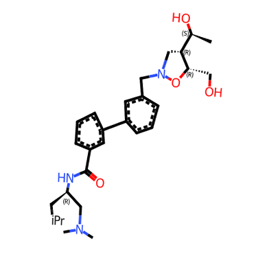 CC(C)C[C@H](CN(C)C)NC(=O)c1cccc(-c2cccc(CN3C[C@H]([C@H](C)O)[C@H](CO)O3)c2)c1